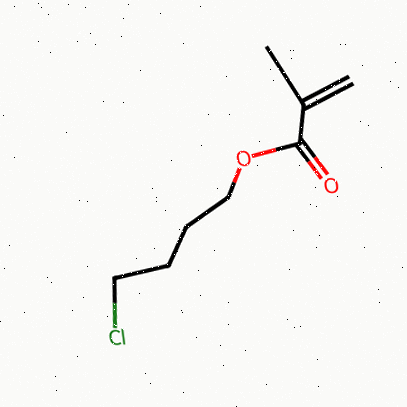 C=C(C)C(=O)OCCCCCl